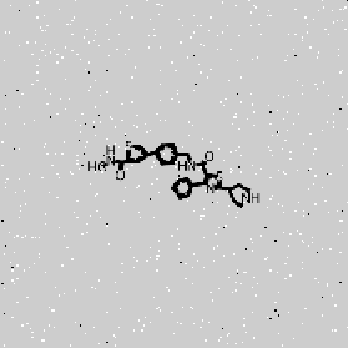 O=C(NO)c1cc(-c2ccc(CNC(=O)c3sc(C4CCNCC4)nc3-c3ccccc3)cc2)cs1